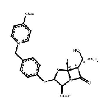 CSc1cc[n+](Cc2ccc(SC3S[C@@H]4[C@@H]([C@@H](C)O)C(=O)N4C3C(=O)[O-])cc2)cc1